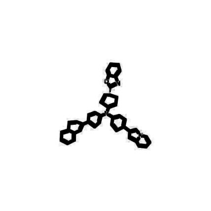 C1=C[C@H](c2nc3ccccc3o2)CC=C1N(c1ccc(-c2ccc3ccccc3c2)cc1)c1ccc(-c2cc3ccccn3c2)cc1